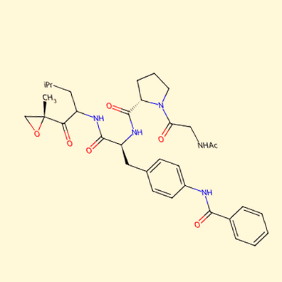 CC(=O)NCC(=O)N1CCC[C@H]1C(=O)N[C@@H](Cc1ccc(NC(=O)c2ccccc2)cc1)C(=O)NC(CC(C)C)C(=O)[C@@]1(C)CO1